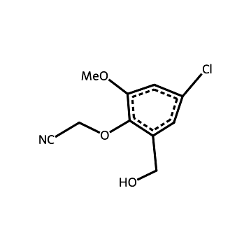 COc1cc(Cl)cc(CO)c1OCC#N